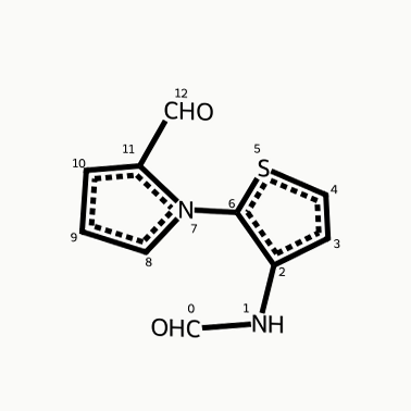 O=CNc1ccsc1-n1cccc1C=O